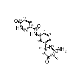 CN1C(=O)C[C@@](C)(c2cccc(NC(=O)c3ccc(=O)[nH]n3)c2)N=C1N